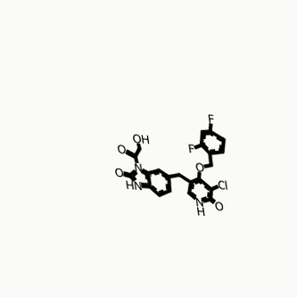 O=C(CO)n1c(=O)[nH]c2ccc(Cc3c[nH]c(=O)c(Cl)c3OCc3ccc(F)cc3F)cc21